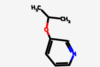 CC(C)Oc1[c]nccc1